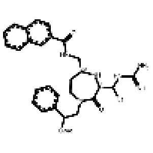 CCC(NC(=N)N)[C@@H]1N[C@H](CNC(=O)c2ccc3ccccc3c2)CCN(CC(OC)c2ccccc2)C1=O